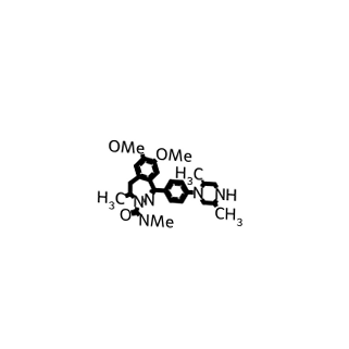 CNC(=O)N1N=C(c2ccc(N3CC(C)NC[C@@H]3C)cc2)c2cc(OC)c(OC)cc2CC1C